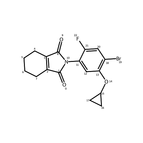 O=C1C2=C(CCCC2)C(=O)N1c1cc(OC2CC2)c(Br)cc1F